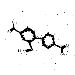 C=Cc1cc(C(=O)O)ccc1-c1ccc(C(=O)O)cc1